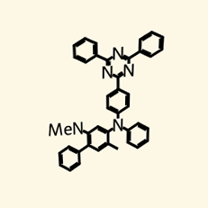 CNc1cc(N(c2ccccc2)c2ccc(-c3nc(-c4ccccc4)nc(-c4ccccc4)n3)cc2)c(C)cc1-c1ccccc1